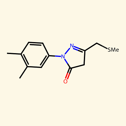 CSCC1=NN(c2ccc(C)c(C)c2)C(=O)C1